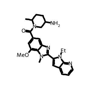 CCn1c(-c2nc3cc(C(=O)N4CC(N)CCC4C)cc(OC)c3n2C)cc2cccnc21